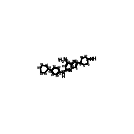 N=C1CCC(c2cn3nc(Nc4ccc(C5CCCCC5)cc4)cc(N)c3n2)CC1